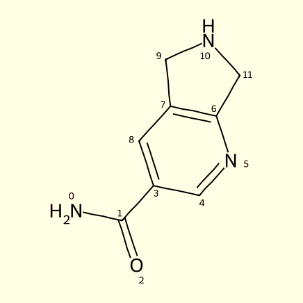 NC(=O)c1cnc2c(c1)CNC2